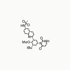 COc1c(-c2ccc3cc(NS(C)(=O)=O)ccc3n2)cc(-n2c(=O)cc[nH]c2=O)cc1C(C)(C)C